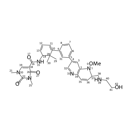 CON1c2cc(-c3cccc(C4=CC=CC(NC(=O)c5cn(C)c(=O)n(C)c5=O)C4(C)C)c3)cnc2C=CC1CNCCO